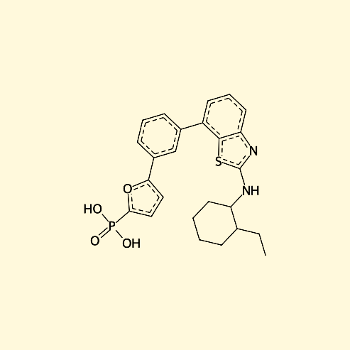 CCC1CCCCC1Nc1nc2cccc(-c3cccc(-c4ccc(P(=O)(O)O)o4)c3)c2s1